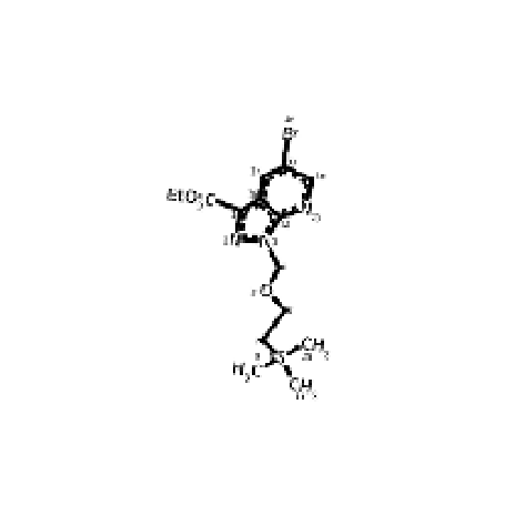 CCOC(=O)c1nn(COCCS(C)(C)C)c2ncc(Br)cc12